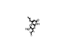 CCCc1cc(=O)[nH]c(SC(CCC)C(=O)O)n1